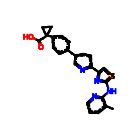 Cc1cccnc1Nc1nc(-c2ccc(-c3ccc(C4(C(=O)O)CC4)cc3)cn2)cs1